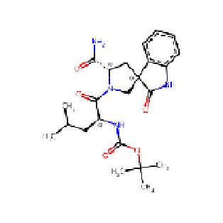 CC(C)C[C@H](NC(=O)OC(C)(C)C)C(=O)N1C[C@]2(C[C@H]1C(N)=O)C(=O)Nc1ccccc12